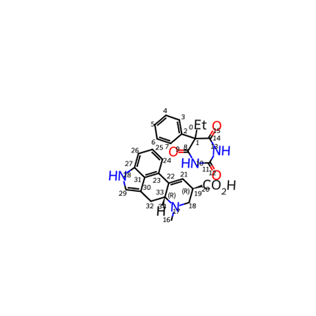 CCC1(c2ccccc2)C(=O)NC(=O)NC1=O.CN1C[C@H](C(=O)O)C=C2c3cccc4[nH]cc(c34)C[C@H]21